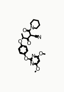 COc1cc(OC)nc(Oc2ccc(OC(C)C(=O)C(C#N)C(=O)N3CCCCC3)cc2)n1